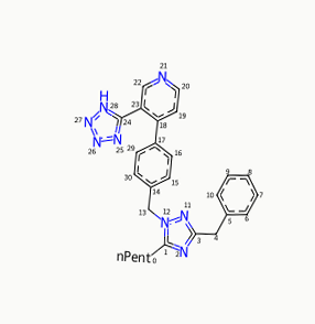 CCCCCc1nc(Cc2ccccc2)nn1Cc1ccc(-c2ccncc2-c2nnn[nH]2)cc1